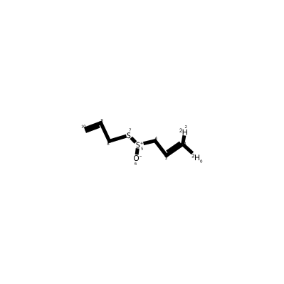 [2H]C([2H])=CC[S+]([O-])SCC=C